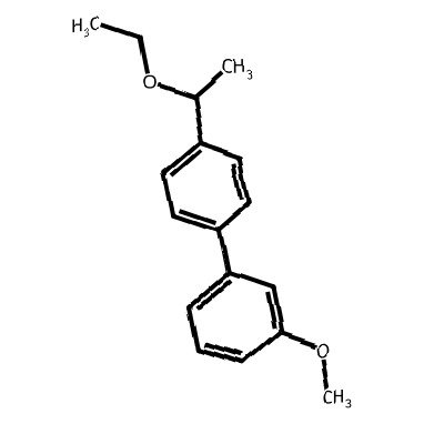 CCOC(C)c1ccc(-c2cccc(OC)c2)cc1